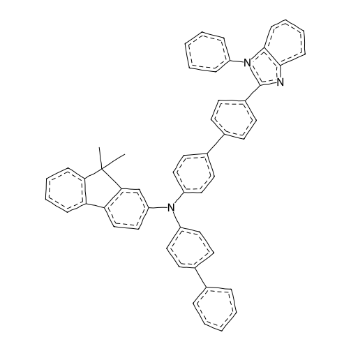 CC1(C)c2ccccc2-c2ccc(N(c3ccc(-c4ccccc4)cc3)c3ccc(-c4ccc(-c5nc6ccccc6n5-c5ccccc5)cc4)cc3)cc21